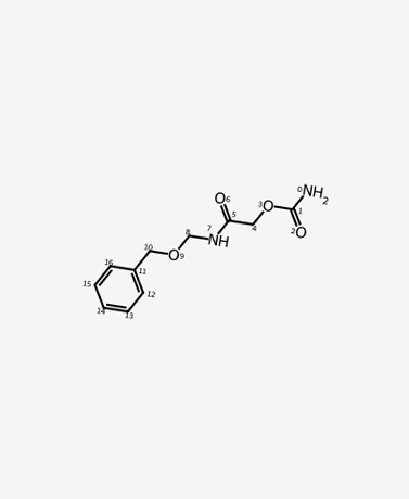 NC(=O)OCC(=O)NCOCc1ccccc1